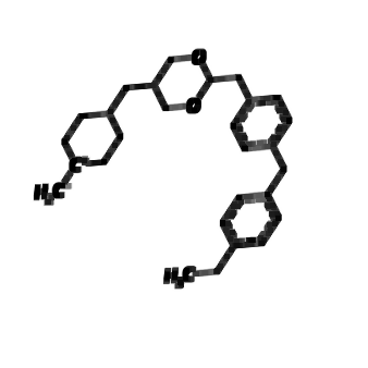 [CH2-][C+]1CCC(CC2COC(Cc3ccc(Cc4ccc(CC)cc4)cc3)OC2)CC1